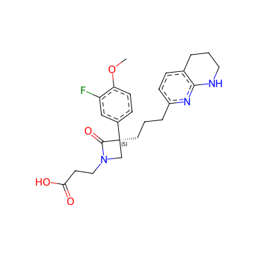 COc1ccc([C@@]2(CCCc3ccc4c(n3)NCCC4)CN(CCC(=O)O)C2=O)cc1F